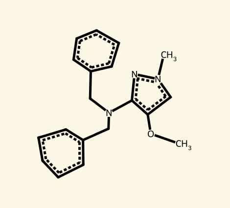 COc1cn(C)nc1N(Cc1ccccc1)Cc1ccccc1